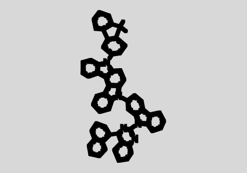 CC1(C)c2ccccc2-c2cc(-n3c4ccccc4c4c5c6ccccc6n(-c6ccc7c8ccccc8n(-c8nc(-c9cccc%10ccccc9%10)c9ccccc9n8)c7c6)c5ccc43)ccc21